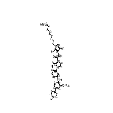 CCc1nn(CCOCCOCCOC)c(CC)c1NC(=O)c1ccn2c1CCc1cnc(Nc3ccc(N4CCN(C)CC4)cc3OC)nc1-2